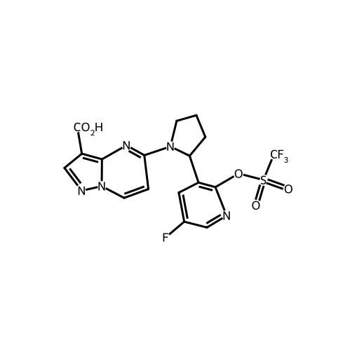 O=C(O)c1cnn2ccc(N3CCCC3c3cc(F)cnc3OS(=O)(=O)C(F)(F)F)nc12